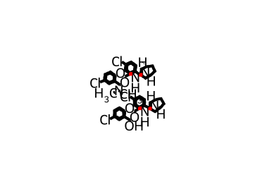 CN(C)C(=O)c1cc(Cl)ccc1OCC(=O)N[C@H]1C[C@H]2CC[C@@H](C1)N2Cc1ccc(Cl)cc1.O=C(COc1ccc(Cl)cc1C(=O)O)N[C@H]1C[C@H]2CC[C@@H](C1)N2Cc1ccc(Cl)cc1